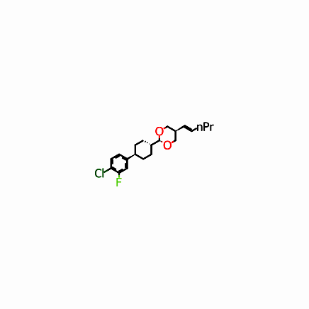 CCC/C=C/[C@H]1CO[C@H]([C@H]2CC[C@H](c3ccc(Cl)c(F)c3)CC2)OC1